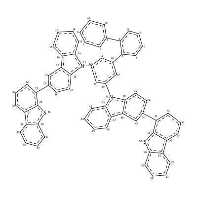 c1ccc(-c2ccccc2-c2cc(-n3c4ccccc4c4cc(-c5cccc6c5sc5ccccc56)ccc43)cc(-n3c4ccccc4c4cc(-c5cccc6c5sc5ccccc56)ccc43)c2)cc1